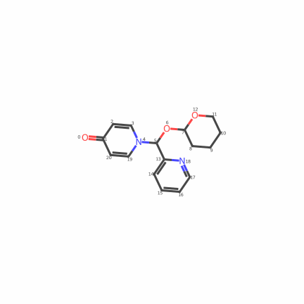 O=c1ccn(C(OC2CCCCO2)c2ccccn2)cc1